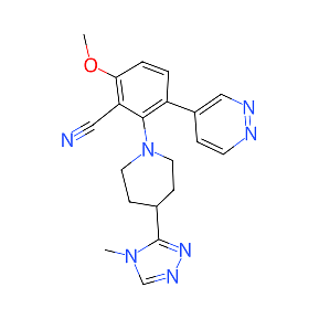 COc1ccc(-c2ccnnc2)c(N2CCC(c3nncn3C)CC2)c1C#N